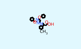 Cc1ccc2c(c1)c(CC(=O)O)cn2-c1cc(Oc2ccccc2)nc(Oc2ccccc2)n1